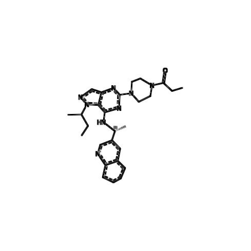 CCC(=O)N1CCN(c2nc(N[C@H](C)c3cnc4ccccc4c3)c3c(cnn3C(C)CC)n2)CC1